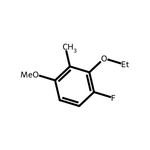 CCOc1c(F)ccc(OC)c1C